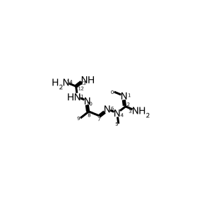 CN=C(N)N(C)N=CC(C)=NNC(=N)N